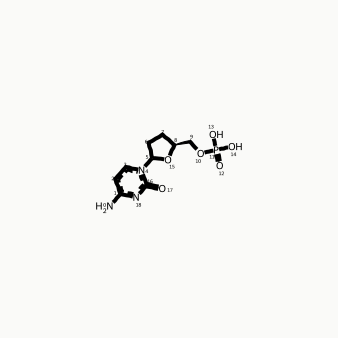 Nc1ccn(C2CC[C@@H](COP(=O)(O)O)O2)c(=O)n1